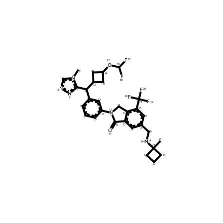 Cn1cnnc1C(c1cccc(N2Cc3c(cc(CNC4(C)CCC4)cc3C(F)(F)F)C2=O)c1)C1CC(OC(F)F)C1